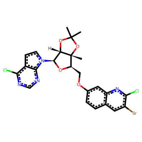 CC1(C)O[C@H]2[C@H](n3ccc4c(Cl)ncnc43)O[C@H](COc3ccc4cc(Br)c(Cl)nc4c3)[C@@]2(C)O1